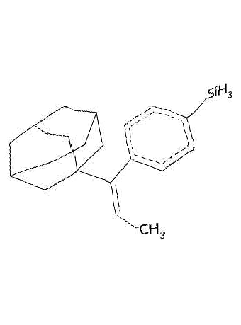 C/C=C(\c1ccc([SiH3])cc1)C12CC3CC(CC(C3)C1)C2